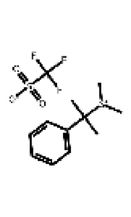 C[S+](C)C(C)(C)c1ccccc1.O=S(=O)([O-])C(F)(F)F